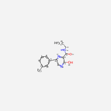 CCc1cccc(-c2cnc(O)c(C(=O)NCC(=O)O)n2)c1